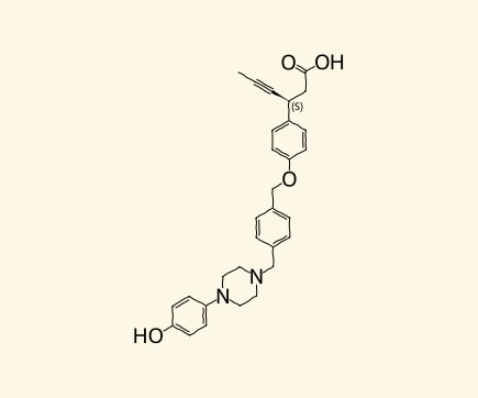 CC#C[C@@H](CC(=O)O)c1ccc(OCc2ccc(CN3CCN(c4ccc(O)cc4)CC3)cc2)cc1